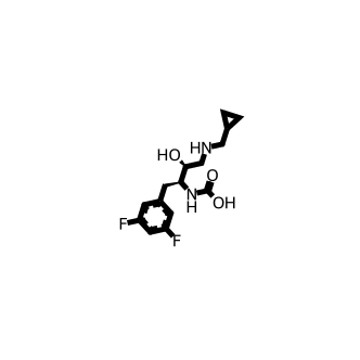 O=C(O)N[C@@H](Cc1cc(F)cc(F)c1)[C@@H](O)CNCC1CC1